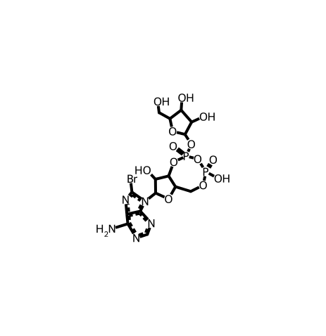 Nc1ncnc2c1nc(Br)n2C1OC2COP(=O)(O)OP(=O)(OC3OC(CO)C(O)C3O)OC2C1O